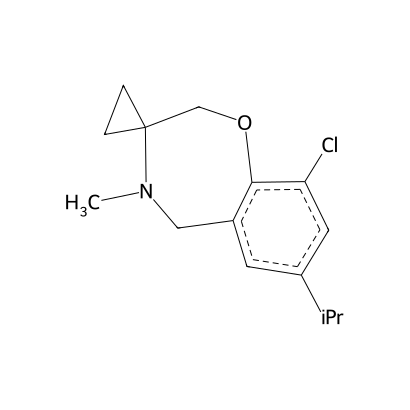 CC(C)c1cc(Cl)c2c(c1)CN(C)C1(CC1)CO2